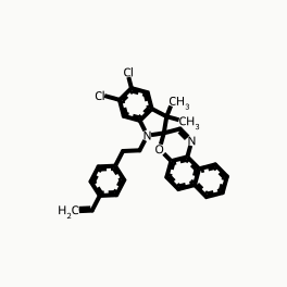 C=Cc1ccc(CCN2c3cc(Cl)c(Cl)cc3C(C)(C)C23C=Nc2c(ccc4ccccc24)O3)cc1